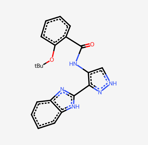 CC(C)(C)Oc1ccccc1C(=O)Nc1c[nH]nc1-c1nc2ccccc2[nH]1